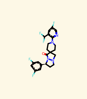 O=C1N2[C@H](c3cc(F)cc(F)c3)CCN2CC12CCN(c1ncc(F)cc1C(F)F)CC2